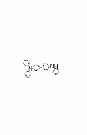 C1=CC(N(c2ccccc2)c2ccccc2)CC=C1c1ccc(Nc2ccccc2)cc1